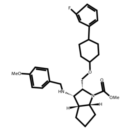 COC(=O)N1[C@@H]2CCC[C@@H]2[C@H](NCc2ccc(OC)cc2)[C@@H]1COC1CCC(c2cccc(F)c2)CC1